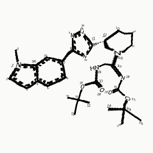 Cn1ccc2ccc(-c3noc([C@@H]4CCCN4/C(=N/C(=O)OC(C)(C)C)NC(=O)OC(C)(C)C)n3)cc21